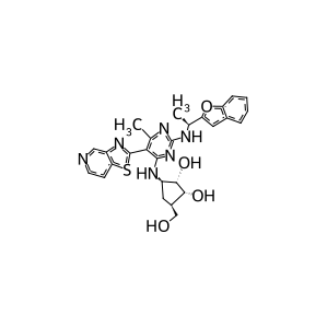 Cc1nc(N[C@@H](C)c2cc3ccccc3o2)nc(N[C@@H]2C[C@H](CO)[C@@H](O)[C@H]2O)c1-c1nc2cnccc2s1